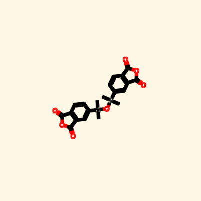 C[Si](C)(O[Si](C)(C)c1ccc2c(c1)C(=O)OC2=O)c1ccc2c(c1)C(=O)OC2=O